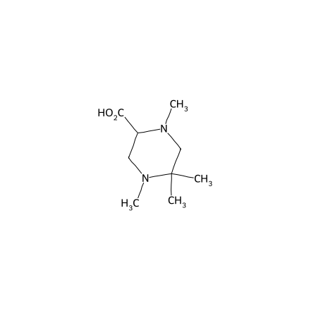 CN1CC(C)(C)N(C)CC1C(=O)O